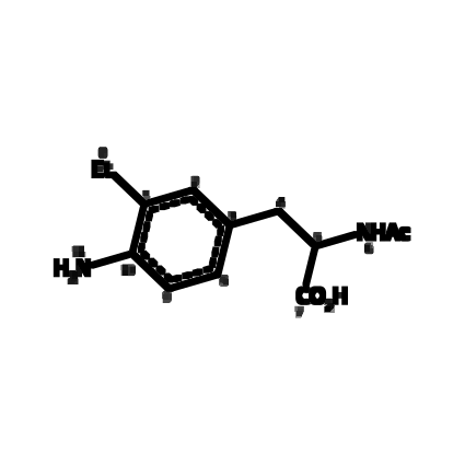 CCc1cc(CC(NC(C)=O)C(=O)O)ccc1N